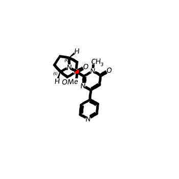 COC(=O)N1[C@@H]2CC[C@H]1CN(c1nc(-c3ccncc3)cc(=O)n1C)C2